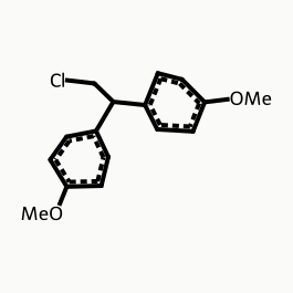 COc1ccc(C(CCl)c2ccc(OC)cc2)cc1